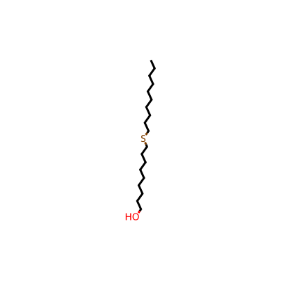 CCCCCCCCCCSCCCCCCCCCO